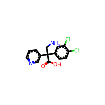 NCC(C(=O)O)(c1cccnc1)c1ccc(Cl)c(Cl)c1